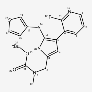 CN(Cc1cc(-c2cccnc2F)c(Sc2ccsc2)s1)C(=O)OC(C)(C)C